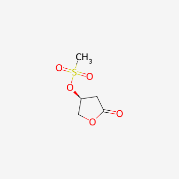 CS(=O)(=O)O[C@@H]1COC(=O)C1